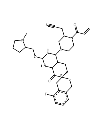 C=CC(=O)N1CCN(C2NC(OCC3CCCN3C)NC3C(=O)[C@@]4(CCC32)Cc2c(F)cccc2CS4)CC1CC#N